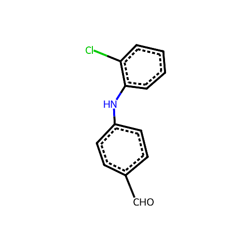 O=Cc1ccc(Nc2ccccc2Cl)cc1